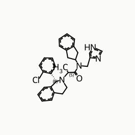 C[C@@H](C(=O)N(Cc1c[nH]cn1)C1Cc2ccccc2C1)N1CCc2ccccc2[C@@H]1c1ccccc1Cl